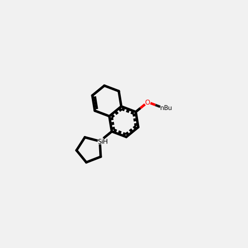 CCCCOc1ccc([SiH]2CCCC2)c2c1CCC=C2